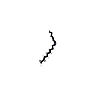 CCCCC/C=C\CCCCCCCCC=O